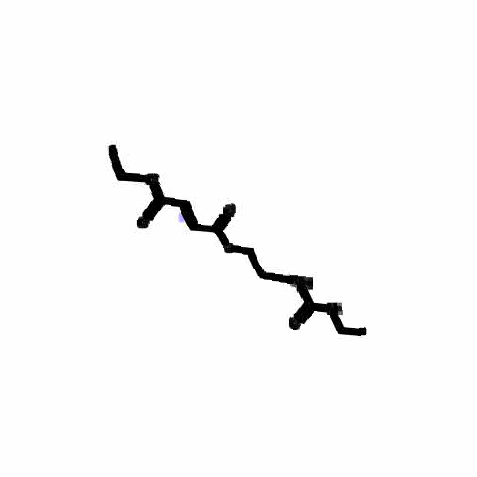 CCNC(=O)NCCOC(=O)/C=C/C(=O)OCC